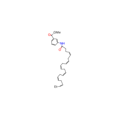 CC/C=C\C/C=C\C/C=C\C/C=C\C/C=C\C/C=C\CCC(=O)Nc1cccc(C(=O)OC)c1